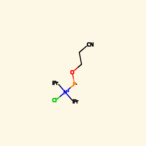 CC(C)[N+](Cl)([P]OCCC#N)C(C)C